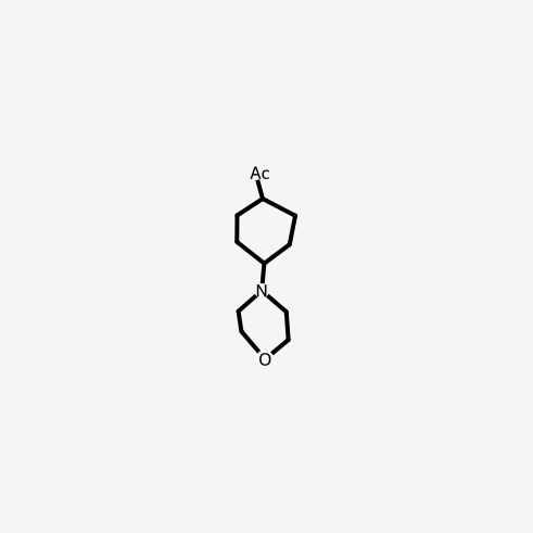 CC(=O)C1CCC(N2CCOCC2)CC1